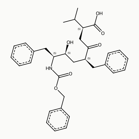 CC(C)[C@H](CC(=O)[C@@H](Cc1ccccc1)C[C@H](O)[C@H](Cc1ccccc1)NC(=O)OCc1ccccc1)C(=O)O